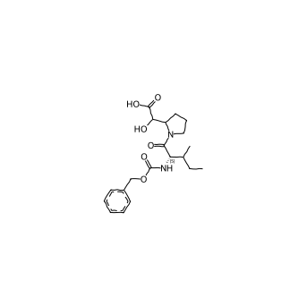 CCC(C)[C@H](NC(=O)OCc1ccccc1)C(=O)N1CCCC1C(O)C(=O)O